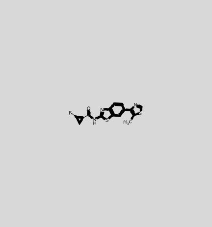 Cc1scnc1-c1ccc2nc(NC(=O)[C@@H]3C[C@@H]3F)sc2c1